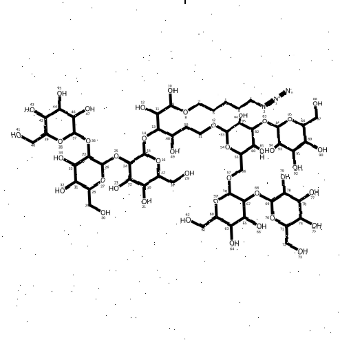 [N-]=[N+]=NCCCCCOC(O)C(O)C(OC1OC(CO)C(O)C(O)C1OC1OC(CO)C(O)C(O)C1OC1OC(CO)C(O)C(O)C1O)C(O)CCOC1OC(COC2OC(CO)C(O)C(O)C2OC2OC(CO)C(O)C(O)C2O)C(O)C(OC2OC(CO)C(O)C(O)C2O)C1O